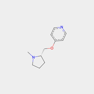 CN1CCC[C@H]1COc1ccncc1